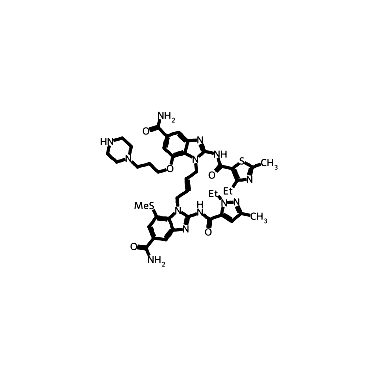 CCc1nc(C)sc1C(=O)Nc1nc2cc(C(N)=O)cc(OCCCN3CCNCC3)c2n1CC=CCn1c(NC(=O)c2cc(C)nn2CC)nc2cc(C(N)=O)cc(SC)c21